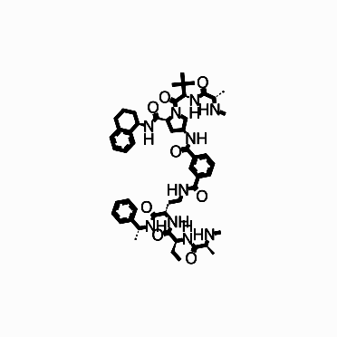 CC[C@H](NC(=O)[C@H](C)NC)C(=O)N[C@@H](CCNC(=O)c1cccc(C(=O)N[C@H]2C[C@@H](C(=O)N[C@@H]3CCCc4ccccc43)N(C(=O)[C@@H](NC(=O)[C@H](C)NC)C(C)(C)C)C2)c1)C(=O)N[C@H](C)c1ccccc1